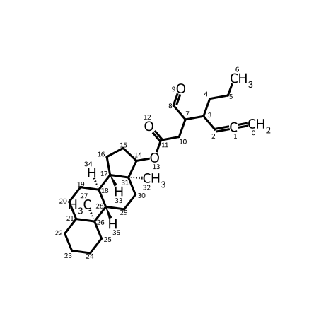 C=C=CC(CCC)C(C=O)CC(=O)OC1CC[C@H]2[C@@H]3CCC4CCCC[C@]4(C)[C@H]3CC[C@]12C